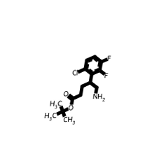 CC(C)(C)OC(=O)CCC(CN)c1c(Cl)ccc(F)c1F